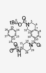 CC(C)(C)OC(=O)N1CCc2ccc(C(=O)N3CCC(NC(=O)OCc4ccccc4)CC3)cc2C1